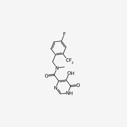 CN(Cc1ccc(F)cc1C(F)(F)F)C(=O)c1nc[nH]c(=O)c1O